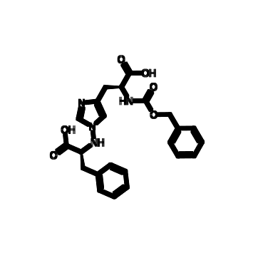 O=C(N[C@@H](Cc1cn(N[C@@H](Cc2ccccc2)C(=O)O)cn1)C(=O)O)OCc1ccccc1